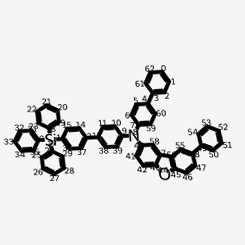 c1ccc(-c2ccc(N(c3ccc(-c4ccc([Si](c5ccccc5)(c5ccccc5)c5ccccc5)cc4)cc3)c3ccc4oc5ccc(-c6ccccc6)cc5c4c3)cc2)cc1